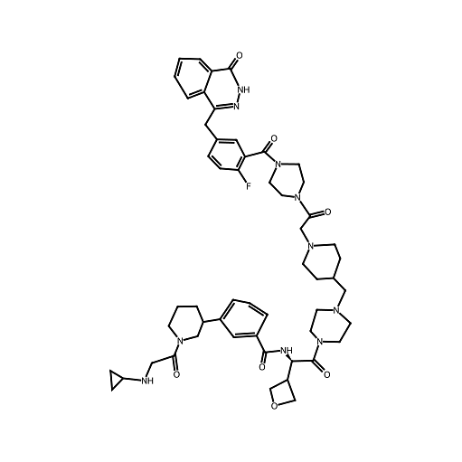 O=C(N[C@@H](C(=O)N1CCN(CC2CCN(CC(=O)N3CCN(C(=O)c4cc(Cc5n[nH]c(=O)c6ccccc56)ccc4F)CC3)CC2)CC1)C1COC1)c1cccc(C2CCCN(C(=O)CNC3CC3)C2)c1